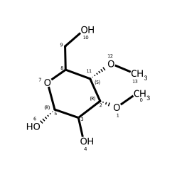 CO[C@@H]1C(O)[C@H](O)OC(CO)[C@@H]1OC